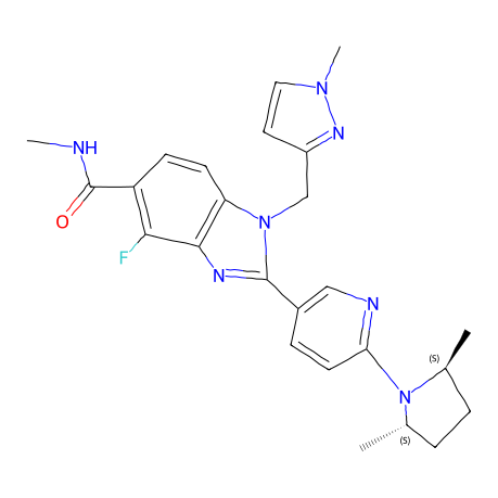 CNC(=O)c1ccc2c(nc(-c3ccc(N4[C@@H](C)CC[C@@H]4C)nc3)n2Cc2ccn(C)n2)c1F